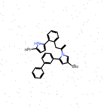 C=C(Cc1ccccc1-c1ccc(CCC)[nH]1)n1cc(C(C)(C)C)cc1-c1cccc(-c2ccccc2)c1